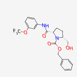 O=C(Nc1cccc(OC(F)(F)F)c1)[C@@H]1CC[C@H](CO)N1C(=O)OCc1ccccc1